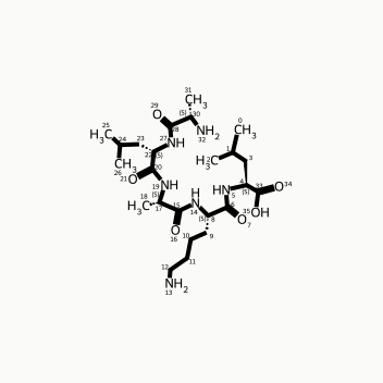 CC(C)C[C@H](NC(=O)[C@H](CCCCN)NC(=O)[C@H](C)NC(=O)[C@H](CC(C)C)NC(=O)[C@H](C)N)C(=O)O